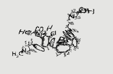 CN1CCC(COc2cc(OCc3cccc(-c4cccc5c4cnn5CCCCN4CC[C@@H](O)C4)c3Br)c(Cl)cc2CN[C@@H](CO)C(=O)O)CC1